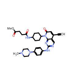 C#Cc1cc(=O)n(C2CCC(NC(=O)CCC(=O)OC)CC2)c2nc(Nc3ccc(N4CCN(C)CC4)cc3)ncc12